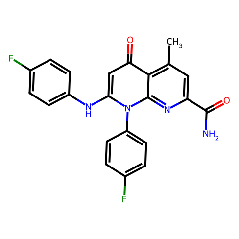 Cc1cc(C(N)=O)nc2c1c(=O)cc(Nc1ccc(F)cc1)n2-c1ccc(F)cc1